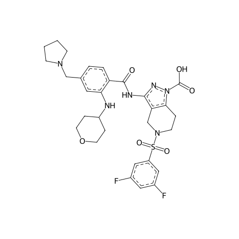 O=C(Nc1nn(C(=O)O)c2c1CN(S(=O)(=O)c1cc(F)cc(F)c1)CC2)c1ccc(CN2CCCC2)cc1NC1CCOCC1